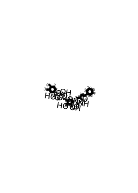 Cc1ccc(P(=O)(O)OP(=O)(O)OC[C@H]2O[C@@H](N3C=C4C=C(c5ccccc5)OC4NC3=O)C(O)[C@H]2O)cc1C